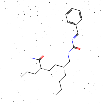 CCCC[C@@H](CCC(CCC)C(N)=O)CNC(=O)/N=C/c1ccccc1